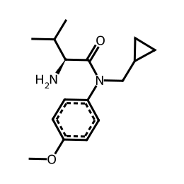 COc1ccc(N(CC2CC2)C(=O)[C@@H](N)C(C)C)cc1